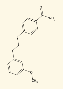 COc1cccc(CCCc2ccc(C(N)=O)cc2)c1